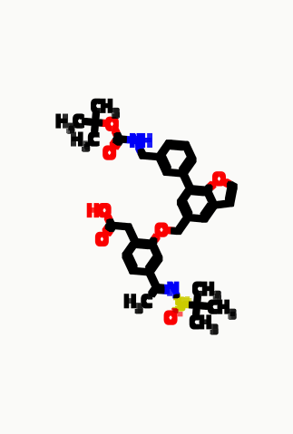 CC(=N[S+]([O-])C(C)(C)C)c1ccc(CC(=O)O)c(OCc2cc(-c3cccc(CNC(=O)OC(C)(C)C)c3)c3occc3c2)c1